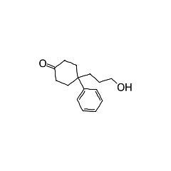 O=C1CCC(CCCO)(c2ccccc2)CC1